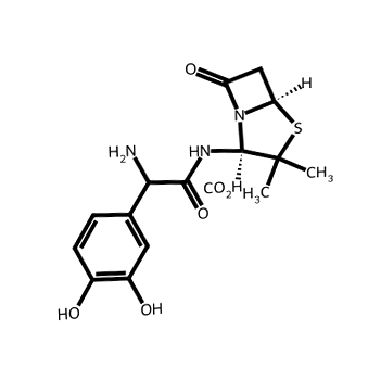 CC1(C)S[C@@H]2CC(=O)N2[C@@]1(NC(=O)C(N)c1ccc(O)c(O)c1)C(=O)O